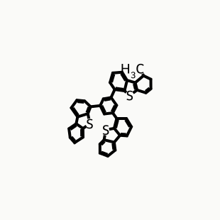 CC1CC=Cc2sc3c(-c4cc(-c5cccc6c5sc5ccccc56)cc(-c5cccc6c5sc5ccccc56)c4)cccc3c21